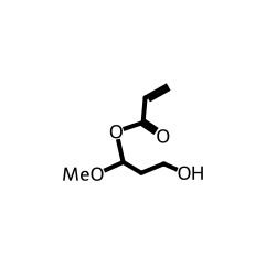 C=CC(=O)OC(CCO)OC